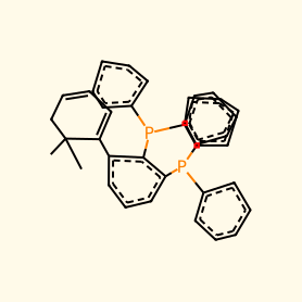 CC1(C)CC=CC=C1c1cccc(P(c2ccccc2)c2ccccc2)c1P(c1ccccc1)c1ccccc1